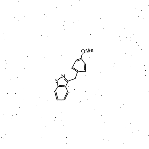 COc1ccc(Cc2nsc3ccc[c]c23)cc1